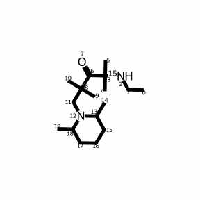 CC[15NH]C(C)(C)C(=O)C(C)(C)CN1C(C)CCCC1C